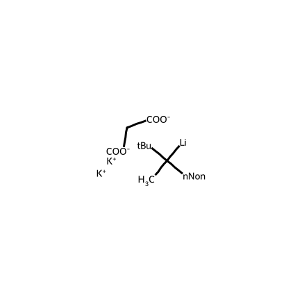 O=C([O-])CC(=O)[O-].[K+].[K+].[Li][C](C)(CCCCCCCCC)C(C)(C)C